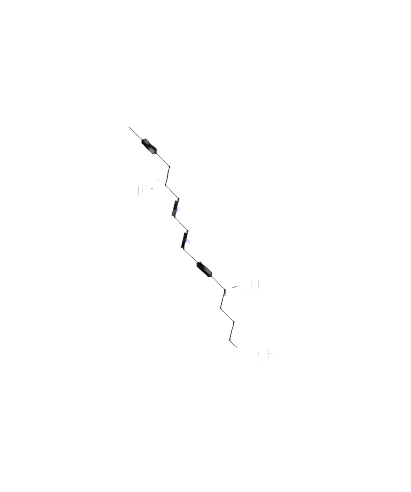 CC#CC[C@@H](O)/C=C/C=C/C#C[C@@H](O)CCCC(=O)OCC